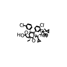 CC[C@]1(CC(=O)O)C[C@H](c2cccc(Cl)c2)[C@@H](c2ccc(Cl)cc2)N([C@H](CNS(=O)(=O)C2(C)CC2)C2CC2)C1=O